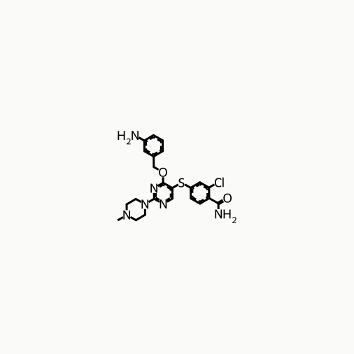 CN1CCN(c2ncc(Sc3ccc(C(N)=O)c(Cl)c3)c(OCc3cccc(N)c3)n2)CC1